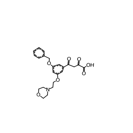 O=C(O)C(=O)CC(=O)c1cc(OCCN2CCOCC2)cc(OCc2ccccc2)c1